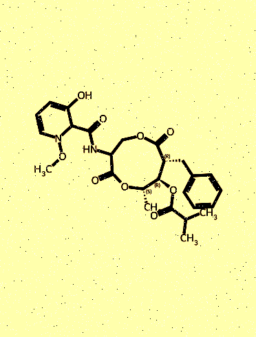 CON1C=CC=C(O)C1C(=O)NC1COC(=O)[C@H](Cc2ccccc2)[C@@H](OC(=O)C(C)C)[C@H](C)OC1=O